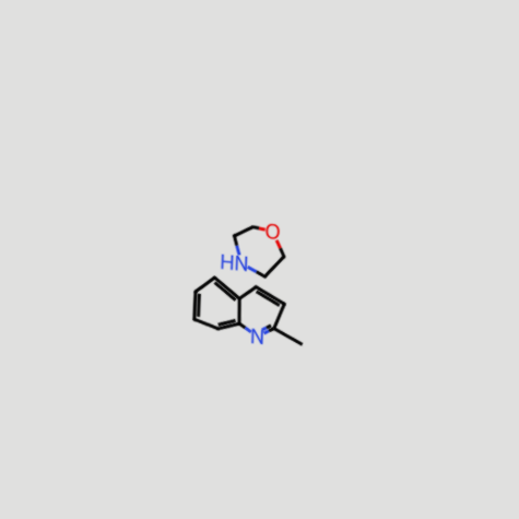 C1COCCN1.Cc1ccc2ccccc2n1